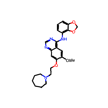 COc1cc2c(Nc3cccc4c3OCO4)ncnc2cc1OCCN1CCCCCC1